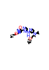 C[C@@H](CCO[Si](C)(C)C(C)(C)C)N(c1ccnc(Nc2ccnc(-c3cn(COCC[Si](C)(C)C)n(C)c3=O)n2)c1)C1CC1